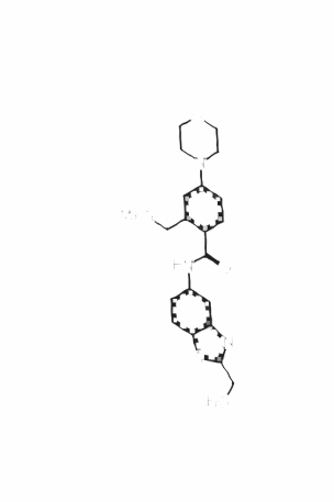 COCc1cc(N2CCOCC2)ccc1C(=O)Nc1ccc2sc(CO)nc2c1